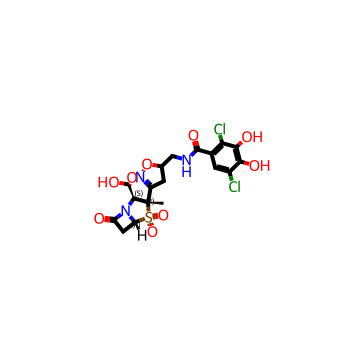 C[C@]1(C2=NOC(CNC(=O)c3cc(Cl)c(O)c(O)c3Cl)C2)[C@H](C(=O)O)N2C(=O)C[C@H]2S1(=O)=O